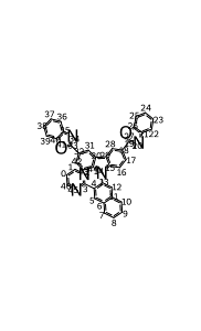 c1cnc(-c2cc3ccccc3cc2-n2c3ccc(-c4nc5ccccc5o4)cc3c3cc(-c4nc5ccccc5o4)ccc32)nc1